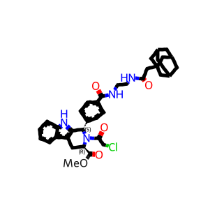 COC(=O)[C@H]1Cc2c([nH]c3ccccc23)[C@H](c2ccc(C(=O)NCCNC(=O)CC34CC5CC(CC(C5)C3)C4)cc2)N1C(=O)CCl